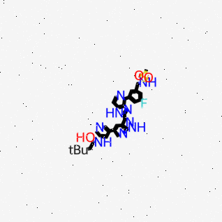 CC(C)(C)CC(O)Nc1cncc(-c2cnc3[nH]nc(-c4nc5c(-c6cc(F)cc(CNS(C)(=O)=O)c6)nccc5[nH]4)c3c2)c1